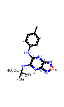 Cc1ccc(Nc2nc3nonc3nc2N[C@@](C(=O)O)(C(C)C)C(C)(C)C)cc1